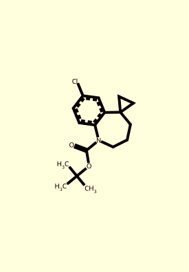 CC(C)(C)OC(=O)N1CCCC2(CC2)c2cc(Cl)ccc21